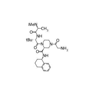 CN[C@@H](C)C(=O)N[C@H](C(=O)N1CCN(C(=O)CN)C[C@H]1C(=O)N[C@@H]1CCCc2ccccc21)C(C)(C)C